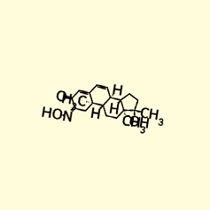 C[C@]12C/C(=N/O)C(=O)C=C1C=C[C@@H]1[C@@H]2CC[C@@]2(C)[C@H]1CC[C@]2(C)O